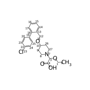 CCOC(C(=O)O)N1CCC(OCc2ccccc2-c2ccc(Cl)cc2)CC1